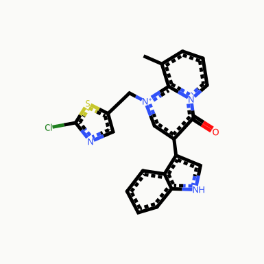 Cc1cccn2c(=O)c(-c3c[nH]c4ccccc34)c[n+](Cc3cnc(Cl)s3)c12